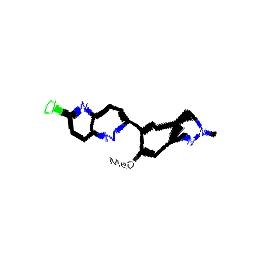 COc1cc2nn(C)cc2cc1-c1ccc2nc(Cl)ccc2n1